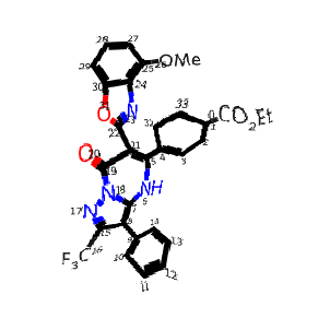 CCOC(=O)C1CC=C(c2[nH]c3c(-c4ccccc4)c(C(F)(F)F)nn3c(=O)c2-c2nc3c(OC)cccc3o2)CC1